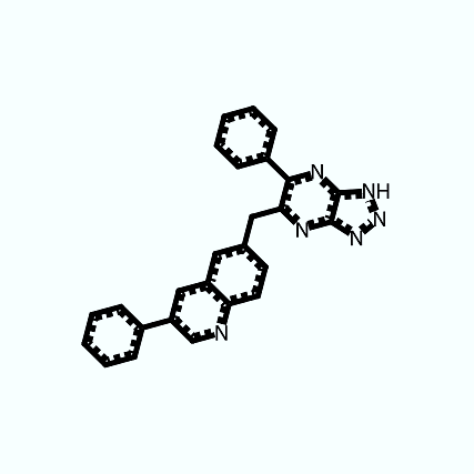 c1ccc(-c2cnc3ccc(Cc4nc5nn[nH]c5nc4-c4ccccc4)cc3c2)cc1